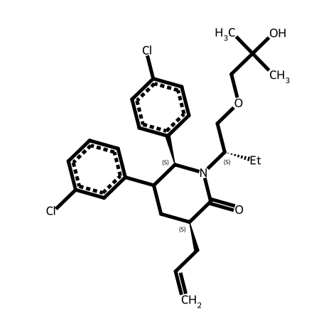 C=CC[C@H]1CC(c2cccc(Cl)c2)[C@@H](c2ccc(Cl)cc2)N([C@@H](CC)COCC(C)(C)O)C1=O